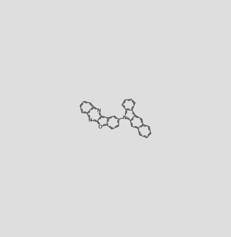 c1ccc2cc3c(cc2c1)c1ccccc1n3-c1ccc2oc3nc4ccccc4nc3c2c1